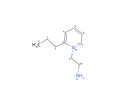 CCCc1cccc[n+]1CCN